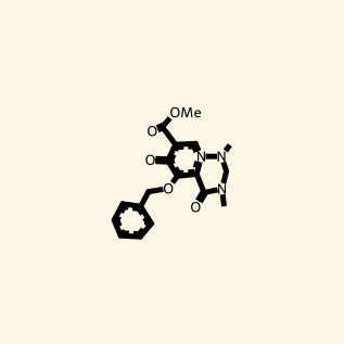 COC(=O)c1cn2c(c(OCc3ccccc3)c1=O)C(=O)N(C)CN2C